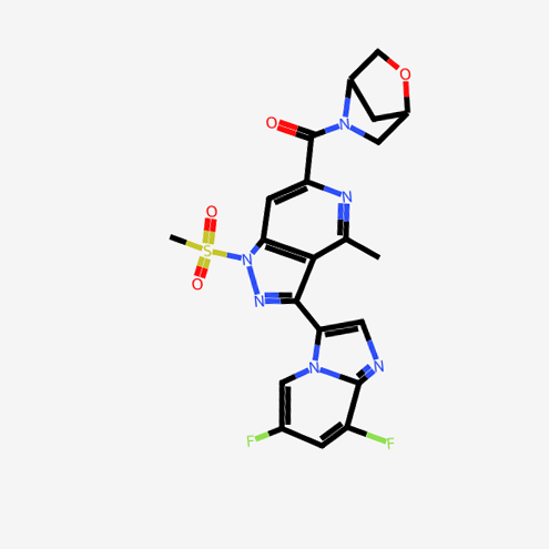 Cc1nc(C(=O)N2CC3CC2CO3)cc2c1c(-c1cnc3c(F)cc(F)cn13)nn2S(C)(=O)=O